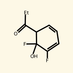 CCC(=O)C1C=CC=C(F)C1(O)F